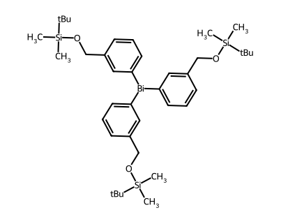 CC(C)(C)[Si](C)(C)OCc1ccc[c]([Bi]([c]2cccc(CO[Si](C)(C)C(C)(C)C)c2)[c]2cccc(CO[Si](C)(C)C(C)(C)C)c2)c1